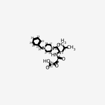 CC(C)C[C@H](NC(=O)[C@H]1O[C@@H]1C(=O)O)C(=O)N1CCN(Cc2ccccc2)CC1